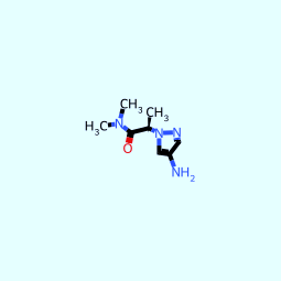 C[C@H](C(=O)N(C)C)n1cc(N)cn1